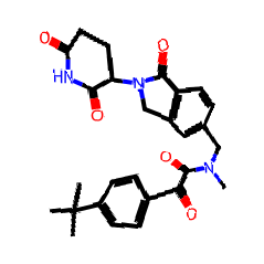 CN(Cc1ccc2c(c1)CN(C1CCC(=O)NC1=O)C2=O)C(=O)C(=O)c1ccc(C(C)(C)C)cc1